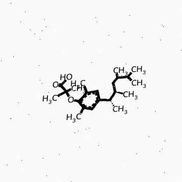 Cc1cc([C@@H](C)[C@H](C)CC(C)C(C)C)cc(C)c1OC(C)(C)C(=O)O